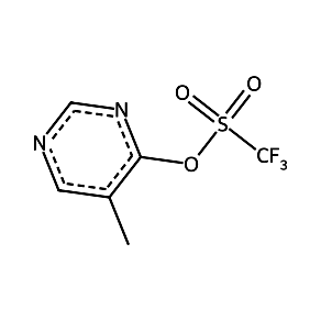 Cc1cncnc1OS(=O)(=O)C(F)(F)F